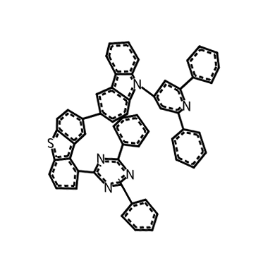 c1ccc(-c2cc(-n3c4ccccc4c4cc(-c5ccc6sc7cccc(-c8nc(-c9ccccc9)nc(-c9ccccc9)n8)c7c6c5)ccc43)cc(-c3ccccc3)n2)cc1